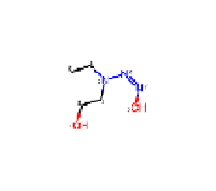 CCN(CCO)/N=N\O